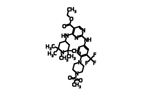 CCOC(=O)c1cnc(Nc2ccc(N3CCN(S(C)(=O)=O)CC3)c(C(F)(F)F)c2)nc1NC1CC(C)(C)N(C)C(C)(C)C1